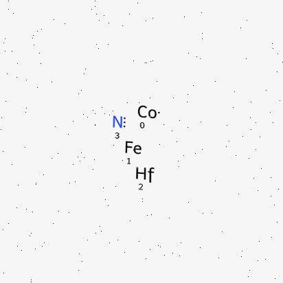 [Co].[Fe].[Hf].[N]